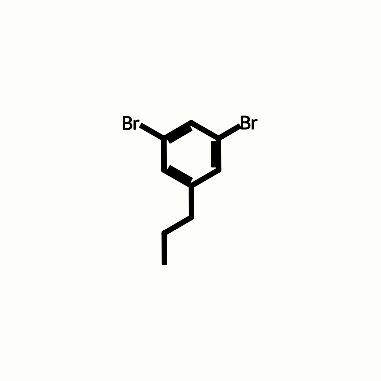 CCCc1cc(Br)cc(Br)c1